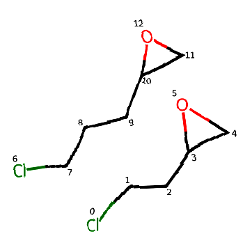 ClCCC1CO1.ClCCCC1CO1